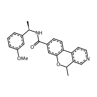 COc1cccc([C@@H](C)NC(=O)c2ccc3c(c2)OC(C)c2cnccc2-3)c1